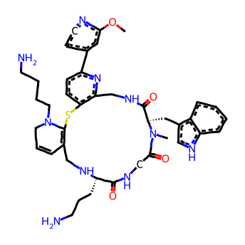 COc1cc(-c2ccc3c(n2)CNC(=O)[C@H](Cc2c[nH]c4ccccc24)N(C)C(=O)CNC(=O)[C@H](CCCN)NCC2=C(S3)N(CCCCN)CC=C2)ccn1